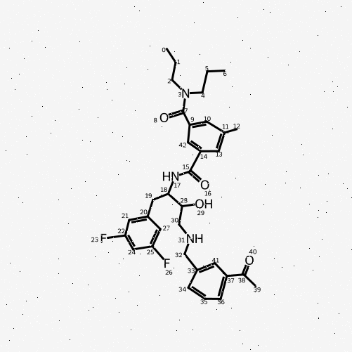 CCCN(CCC)C(=O)c1cc(C)cc(C(=O)NC(Cc2cc(F)cc(F)c2)C(O)CNCc2cccc(C(C)=O)c2)c1